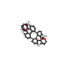 c1ccc2c(c1)[nH]c1ccc3c(c12)-c1c(ccc2oc4ccccc4c12)-c1ccc2oc4ccccc4c2c1-c1c-3ccc2[nH]c3ccccc3c12